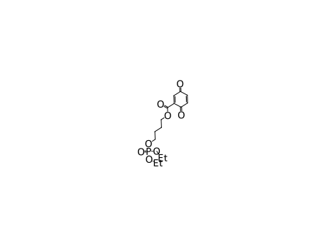 CCOP(=O)(OCC)OCCCCOC(=O)C1=CC(=O)C=CC1=O